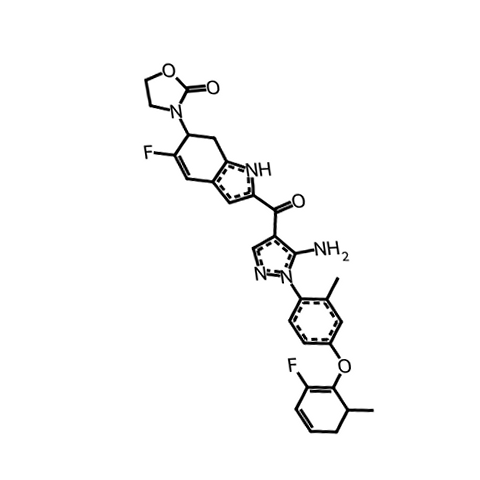 Cc1cc(OC2=C(F)C=CCC2C)ccc1-n1ncc(C(=O)c2cc3c([nH]2)CC(N2CCOC2=O)C(F)=C3)c1N